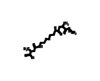 CCC(=O)C(C)CC(=O)NCCSSCCNC(=O)CC(C)C(=O)NN